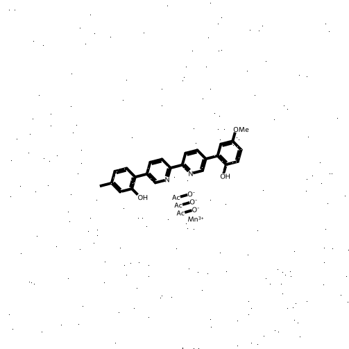 CC(=O)[O-].CC(=O)[O-].CC(=O)[O-].COc1ccc(O)c(-c2ccc(-c3ccc(-c4ccc(C)cc4O)cn3)nc2)c1.[Mn+3]